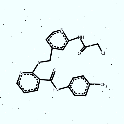 O=C(CCl)Nc1cc(CSc2ncccc2C(=O)Nc2ccc(C(F)(F)F)cc2)ccn1